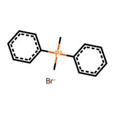 C[P+](C)(c1ccccc1)c1ccccc1.[Br-]